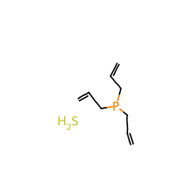 C=CCP(CC=C)CC=C.S